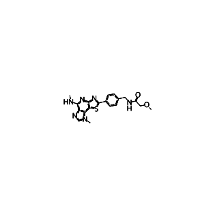 CNc1nc2nc(-c3ccc(CNC(=O)COC)cc3)sc2c2c1ncn2C